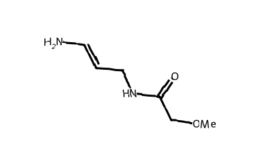 COCC(=O)NC/C=C/N